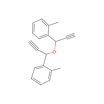 C#CC(OC(C#C)c1ccccc1C)c1ccccc1C